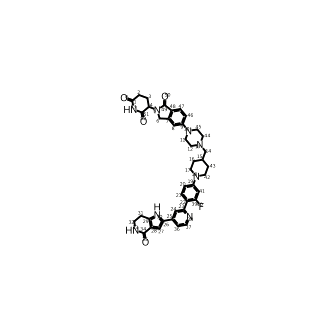 O=C1CCC(N2Cc3cc(N4CCN(CC5CCN(c6ccc(-c7cc(-c8cc9c([nH]8)CCNC9=O)ccn7)c(F)c6)CC5)CC4)ccc3C2=O)C(=O)N1